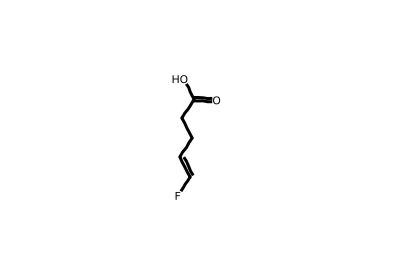 O=C(O)CCC=CF